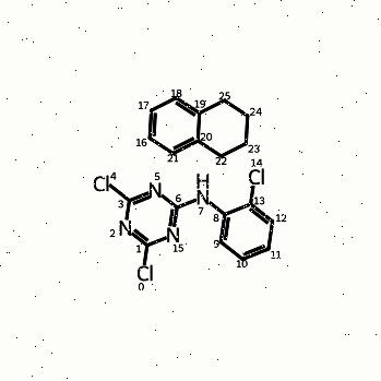 Clc1nc(Cl)nc(Nc2ccccc2Cl)n1.c1ccc2c(c1)CCCC2